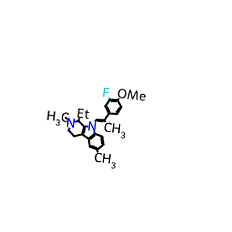 CCC1c2c(c3cc(C)ccc3n2/C=C(\C)c2ccc(OC)c(F)c2)CCN1C